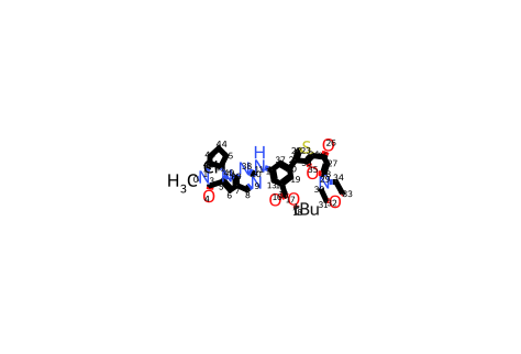 CN(C)C(=O)c1cc2cnc(Nc3cc(C(=O)OC(C)(C)C)cc(-c4csc5c(=O)cc(N6CCOCC6)oc45)c3)nc2n1C1CCCC1